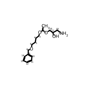 CC(OCCCCOCc1ccccc1)OCC(O)CN